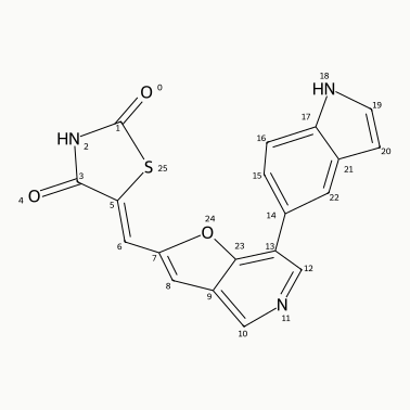 O=C1NC(=O)C(=Cc2cc3cncc(-c4ccc5[nH]ccc5c4)c3o2)S1